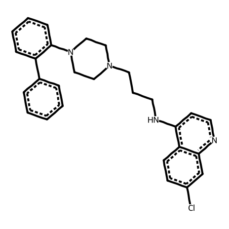 Clc1ccc2c(NCCCN3CCN(c4ccccc4-c4ccccc4)CC3)ccnc2c1